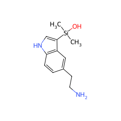 C[Si](C)(O)c1c[nH]c2ccc(CCN)cc12